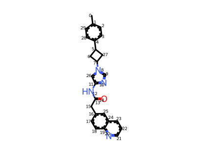 Cc1ccc(C2CC(n3cnc(NC(=O)Cc4ccc5ncccc5c4)c3)C2)cc1